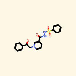 O=C(NNS(=O)(=O)c1ccccc1)C1=CN(CC(=O)c2ccccc2)C=CC1